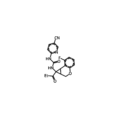 CCC(=O)C1(NC(=O)Nc2ccc(C#N)cn2)C2COc3cccc(F)c3C21